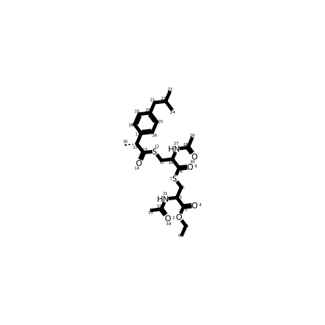 CCOC(=O)C(CSC(=O)C(CSC(=O)[C@H](C)c1ccc(CC(C)C)cc1)NC(C)=O)NC(C)=O